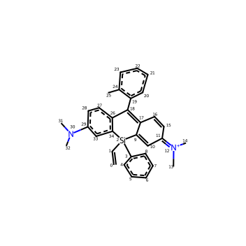 C=C[Si]1(c2ccccc2)C2=CC(=[N+](C)C)C=CC2=C(c2ccccc2C)c2ccc(N(C)C)cc21